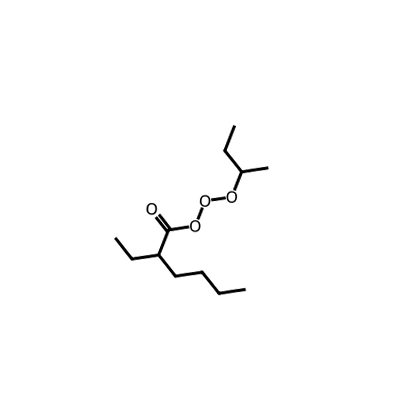 CCCCC(CC)C(=O)OOOC(C)CC